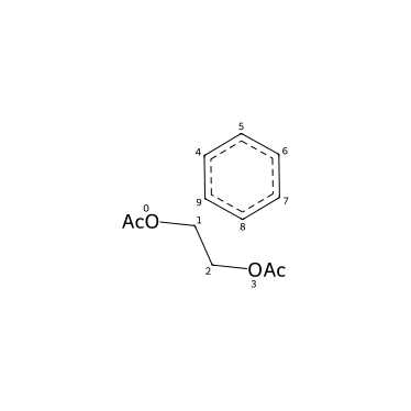 CC(=O)OCCOC(C)=O.c1ccccc1